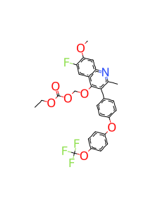 CCOC(=O)OCOc1c(-c2ccc(Oc3ccc(OC(F)(F)F)cc3)cc2)c(C)nc2cc(OC)c(F)cc12